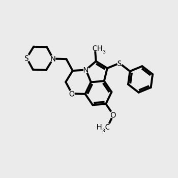 COc1cc2c3c(c1)c(Sc1ccccc1)c(C)n3C(CN1CCSCC1)CO2